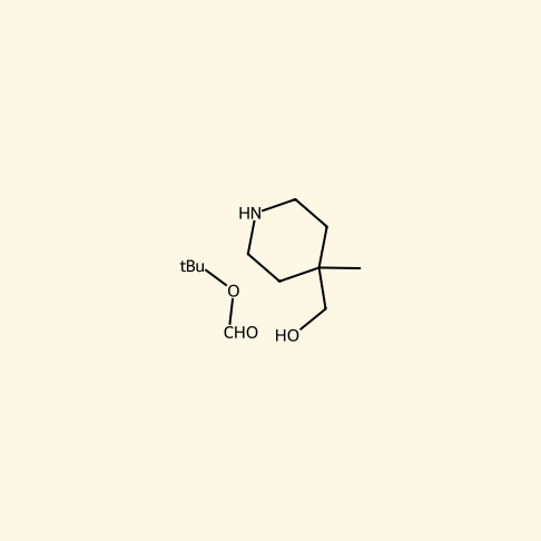 CC(C)(C)OC=O.CC1(CO)CCNCC1